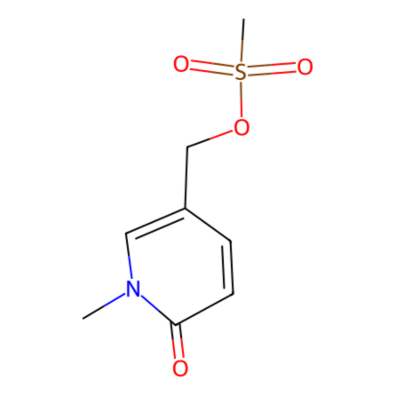 Cn1cc(COS(C)(=O)=O)ccc1=O